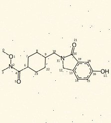 CON(C)C(=O)C1CCC(CN2Cc3ccc(O)cc3C2=O)CC1